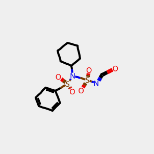 O=C=NS(=O)(=O)N(C1CCCCC1)S(=O)(=O)c1ccccc1